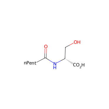 CCCCCC(=O)N[C@H](CO)C(=O)O